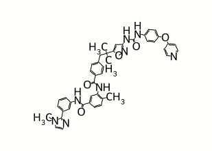 Cc1ccc(C(=O)Nc2cccc(-c3nccn3C)c2)cc1NC(=O)c1ccc(CC(C)(C)c2cc(NC(=O)Nc3ccc(Oc4ccncc4)cc3)no2)cc1